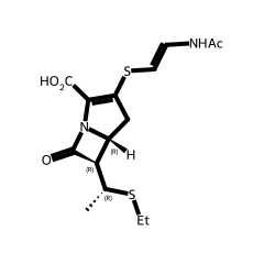 CCS[C@H](C)[C@H]1C(=O)N2C(C(=O)O)=C(SC=CNC(C)=O)C[C@H]12